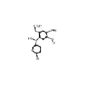 CCOC(=O)Cc1cc(OC)c(OC(C)C)cc1C(O)c1ccc(Cl)cc1